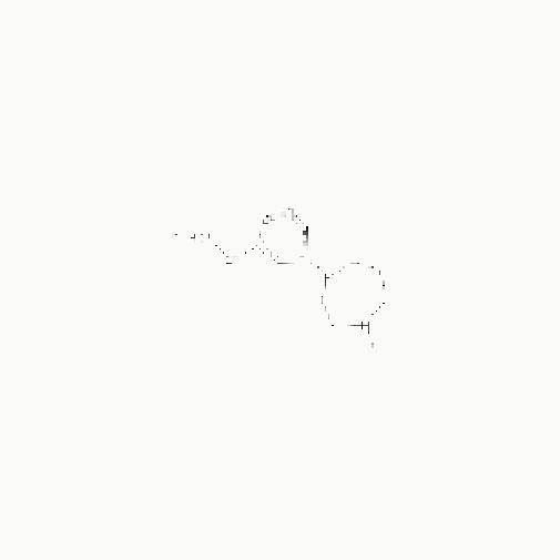 CCCCCCCOc1cncc(N2CCCN(C)CC2)c1